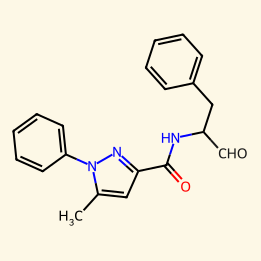 Cc1cc(C(=O)NC(C=O)Cc2ccccc2)nn1-c1ccccc1